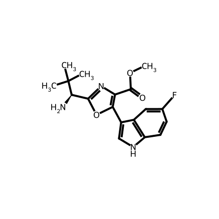 COC(=O)c1nc([C@@H](N)C(C)(C)C)oc1-c1c[nH]c2ccc(F)cc12